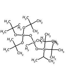 CC(C)[Si](O[Si](C)(C)O[Si](OC(C)(C)C)(OC(C)(C)C)OC(C)(C)C)(C(C)(C)C)C(C)(C)C